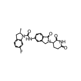 C[C@@H]1Cc2ccc(F)cc2N1C(=O)Nc1ccc2c(c1)CN(C1CCC(=O)NC1=O)C2=O